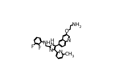 Cc1cccc(-c2nc(CNc3cccc(F)c3F)[nH]c2-c2ccc3ncc(OCCN)cc3c2)n1